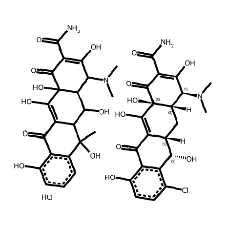 CN(C)C1C(O)=C(C(N)=O)C(=O)C2(O)C(O)=C3C(=O)c4c(O)cccc4C(C)(O)C3C(O)C12.CN(C)[C@@H]1C(O)=C(C(N)=O)C(=O)[C@@]2(O)C(O)=C3C(=O)c4c(O)ccc(Cl)c4[C@@H](O)[C@H]3C[C@@H]12.Cl